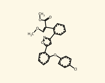 COC=C(C(=O)OC)c1ccccc1-c1cc(-c2ccccc2Oc2ccc(Cl)cc2)on1